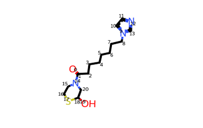 O=C(CCCCCCCn1c[c]nc1)N1CCSC(O)C1